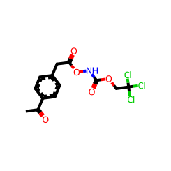 CC(=O)c1ccc(CC(=O)ONC(=O)OCC(Cl)(Cl)Cl)cc1